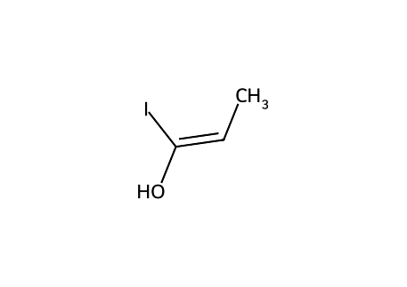 CC=C(O)I